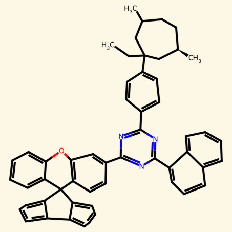 CCC1(c2ccc(-c3nc(-c4ccc5c(c4)Oc4ccccc4C54c5ccccc5-c5ccccc54)nc(-c4cccc5ccccc45)n3)cc2)CC(C)CC[C@@H](C)C1